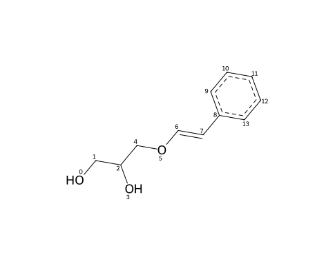 OCC(O)COC=Cc1ccccc1